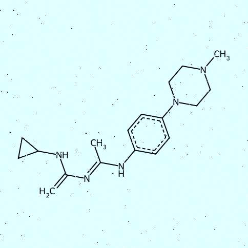 C=C(/N=C(\C)Nc1ccc(N2CCN(C)CC2)cc1)NC1CC1